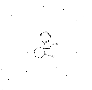 CCOC(=O)CC1(c2ccccc2)CCCCN1C(=O)O